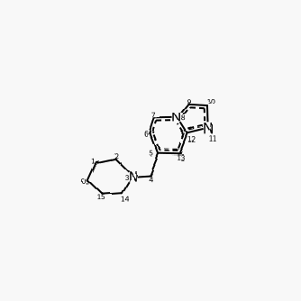 [CH]1CCN(Cc2ccn3ccnc3c2)CC1